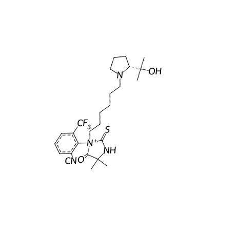 CC1(C)NC(=S)[N+](CCCCCCN2CCC[C@@H]2C(C)(C)O)(c2c(C#N)cccc2C(F)(F)F)C1=O